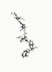 Cc1c(Nc2nc3cccc(F)c3s2)nnc2c1CCCN2c1nc(C(=O)O)c(CCCOc2ccc(C#CCN(C)C)cc2F)s1